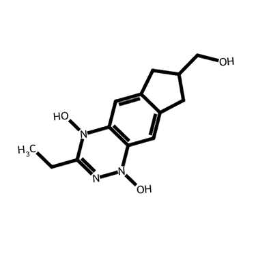 CCC1=NN(O)c2cc3c(cc2N1O)CC(CO)C3